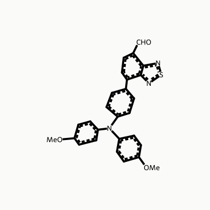 COc1ccc(N(c2ccc(OC)cc2)c2ccc(-c3ccc(C=O)c4nsnc34)cc2)cc1